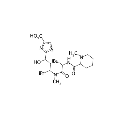 CCC(C)C(NC(=O)C1CCCCN1C)C(=O)N(C)C(CC(O)c1nc(C(=O)O)cs1)C(C)C